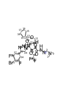 CN(C)/C=N/NC(=O)[C@@H]1O[C@@H]2COC(c3ccccc3)O[C@@H]2[C@H](n2cc(-c3cc(F)c(Br)c(F)c3)nn2)[C@H]1OCC(F)F